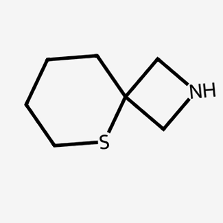 C1CCC2(CNC2)SC1